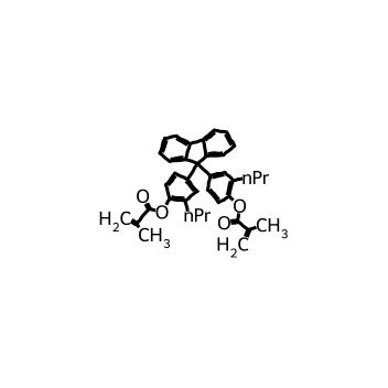 C=C(C)C(=O)Oc1ccc(C2(c3ccc(OC(=O)C(=C)C)c(CCC)c3)c3ccccc3-c3ccccc32)cc1CCC